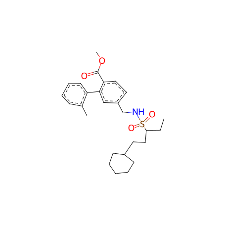 CCC(CCC1CCCCC1)S(=O)(=O)NCc1ccc(C(=O)OC)c(-c2ccccc2C)c1